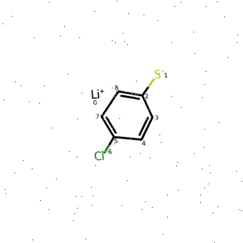 [Li+].[S-]c1ccc(Cl)cc1